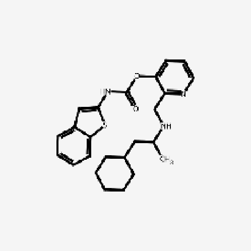 CC(CC1CCCCC1)NCc1ncccc1OC(=O)Nc1cc2ccccc2s1